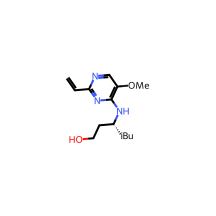 C=Cc1ncc(OC)c(N[C@@H](CCO)C(C)CC)n1